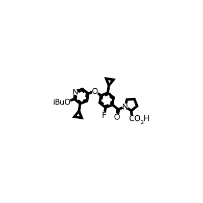 CC(C)COc1ncc(Oc2cc(F)c(C(=O)N3CCCC3C(=O)O)cc2C2CC2)cc1C1CC1